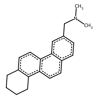 CN(C)Cc1ccc2ccc3c4c(ccc3c2c1)CCCC4